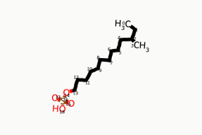 CCC(C)CCCCCCCCCCOS(=O)(=O)O